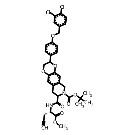 C#CC[C@H](NC(=O)C1Cc2cc3c(cc2CN1C(=O)OC(C)(C)C)OC(c1ccc(OCc2ccc(Cl)c(Cl)c2)cc1)CO3)C(=O)OC